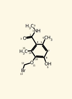 CNC(=O)c1c(C)cc(O)c(OCBr)c1C